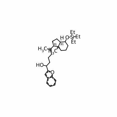 CC[Si](CC)(CC)OC1CCC[C@]2(C)[C@@H]([C@H](C)CCCC(O)c3cc4ccccc4o3)CC[C@@H]12